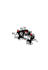 Cc1cc(=O)n(CCNc2nc(NCCO)nc(Nc3ccc(Nc4nc(NCCO)nc(NCCn5c(O)c(N=Nc6cc(C(=O)O)cc(C(=O)O)c6)c(C)cc5=O)n4)cc3)n2)c(O)c1N=Nc1cc(C(=O)O)cc(C(=O)O)c1